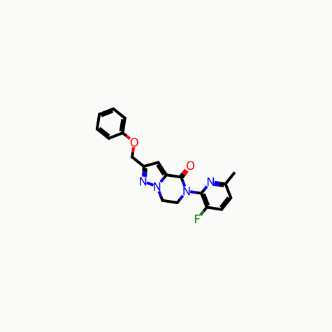 Cc1ccc(F)c(N2CCn3nc(COc4ccccc4)cc3C2=O)n1